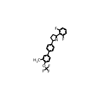 Cc1cc(-c2ccc(C3CCC(c4c(F)cccc4F)=N3)cc2)ccc1OC(F)(F)F